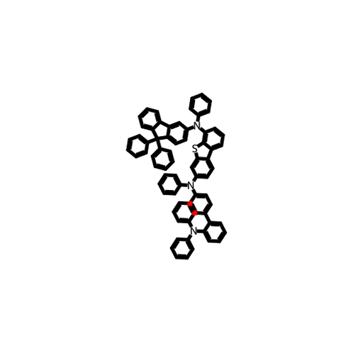 c1ccc(N(c2ccc(-c3ccccc3N(c3ccccc3)c3ccccc3)cc2)c2ccc3c(c2)sc2c(N(c4ccccc4)c4ccc5c(c4)-c4ccccc4C5(c4ccccc4)c4ccccc4)cccc23)cc1